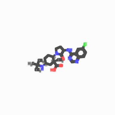 CC(C)(C)N[C@@H]1CC[C@H](N2CCC(Nc3ncnc4ccc(Cl)cc34)C2=O)[C@](C)(C(=O)O)C1